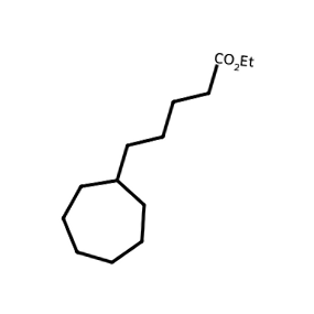 CCOC(=O)CCCCC1CCCCCC1